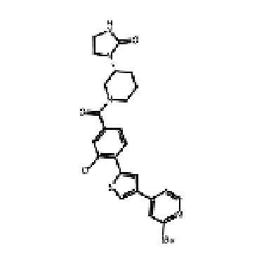 CC(C)(C)c1cc(-c2csc(-c3ccc(C(=O)N4CCC[C@@H](N5CCNC5=O)C4)cc3Cl)c2)ccn1